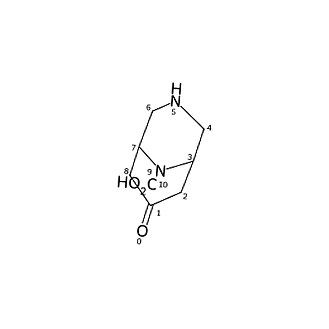 O=C1CC2CNCC(C1)N2C(=O)O